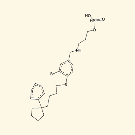 O=[PH](O)OCCCNCc1ccc(SCCCCC2(c3ccccc3)CCCC2)c(Br)c1